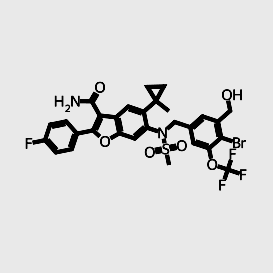 CC1(c2cc3c(C(N)=O)c(-c4ccc(F)cc4)oc3cc2N(Cc2cc(CO)c(Br)c(OC(F)(F)F)c2)S(C)(=O)=O)CC1